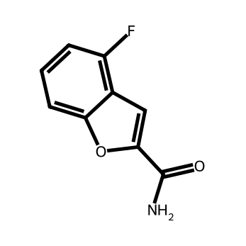 NC(=O)c1cc2c(F)cccc2o1